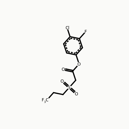 O=C(CS(=O)(=O)CCC(F)(F)F)Oc1ccc(Cl)c(F)c1